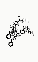 COC(=O)c1csc(NC(=O)[C@H](Cc2ccccc2)NC(=O)C(NC(=O)OCc2ccccc2)c2ccc(OC)c(C)c2)n1